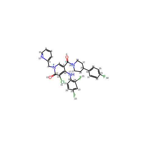 O=C(c1cn(Cc2ccccn2)c(=O)c(Cl)c1Nc1ccc(F)cc1F)N1CCC(c2ccc(F)cc2)CC1